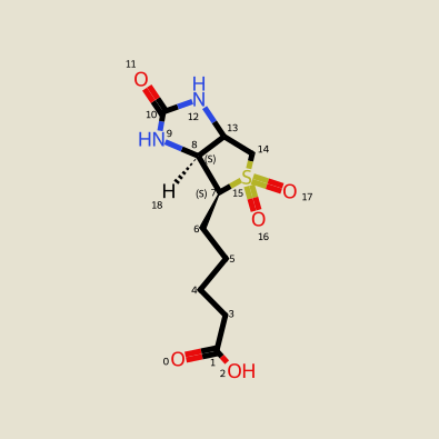 O=C(O)CCCC[C@H]1[C@H]2NC(=O)NC2CS1(=O)=O